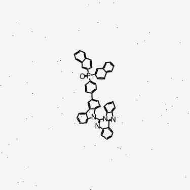 O=P(c1ccc(-c2ccc3c(c2)c2ccccc2n3-c2nc3ccccc3c3nc4ccccc4n23)cc1)(c1ccc2ccccc2c1)c1ccc2ccccc2c1